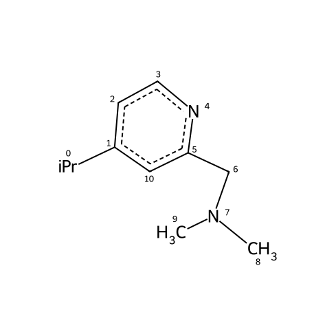 CC(C)c1ccnc(CN(C)C)c1